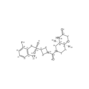 O=C1CO[C@H]2CCN(C(=O)N3CC(S(=O)(=O)Cc4c(F)cccc4C(F)(F)F)C3)C[C@H]2N1